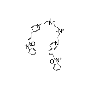 C[n+]1c(C=CC=C2C=CN(CCC[N+](C)(C)CCC[N+](C)(C)CCCN3C=CC(=C/C=C/c4oc5ccccc5[n+]4C)C=C3)C=C2)oc2ccccc21